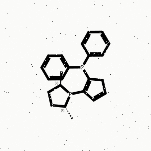 C[C@@H]1CC[C@@H](C)P1C1=C(P(c2ccccc2)c2ccccc2)CC=C1